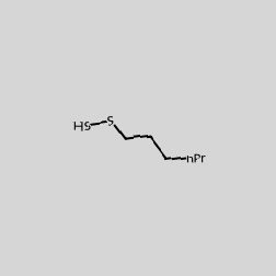 [CH2]CCCCCSS